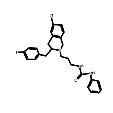 O=C(NCCCN1Cc2ccc(Cl)cc2CC1Cc1ccc(F)cc1)Nc1ccccc1